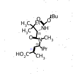 CCC(C)(C)[C@H](NC(=O)OC(C)(C)C)C(=O)N(C)[C@H](/C=C(\C)C(=O)O)C(C)C